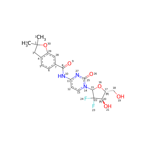 CC1(C)Cc2ccc(C(=O)Nc3ccn(C4O[C@H](CO)[C@@H](O)C4(F)F)c(=O)n3)cc2O1